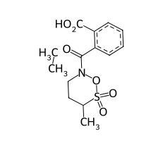 CC.CC1CCN(C(=O)c2ccccc2C(=O)O)OS1(=O)=O